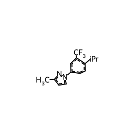 Cc1ccn(-c2ccc(C(C)C)c(C(F)(F)F)c2)n1